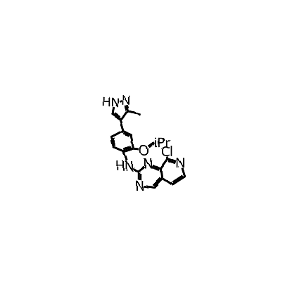 Cc1n[nH]cc1-c1ccc(Nc2ncc3ccnc(Cl)c3n2)c(OC(C)C)c1